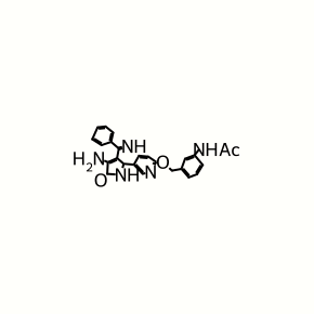 CC(=O)Nc1cccc(COc2ccc(C3NC(=O)C(N)=C3C(=N)c3ccccc3)cn2)c1